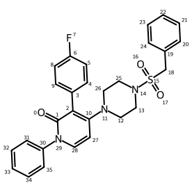 O=c1c(-c2ccc(F)cc2)c(N2CCN(S(=O)(=O)Cc3ccccc3)CC2)ccn1-c1ccccc1